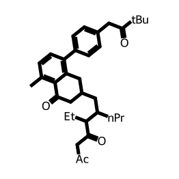 CCCC(CC1CC(=O)c2c(C)ccc(-c3ccc(CC(=O)C(C)(C)C)cc3)c2C1)C(CC)C(=O)CC(C)=O